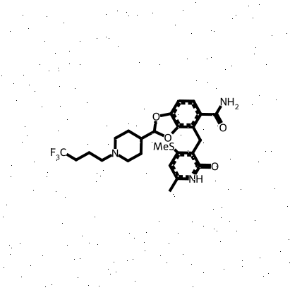 CSc1cc(C)[nH]c(=O)c1Cc1c(C(N)=O)ccc2c1OC(C1CCN(CCCC(F)(F)F)CC1)O2